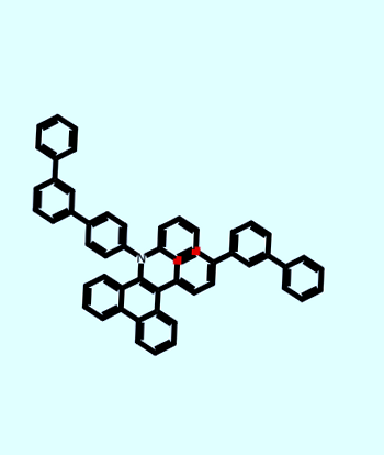 c1ccc(-c2cccc(-c3ccc(-c4c(N(c5ccccc5)c5ccc(-c6cccc(-c7ccccc7)c6)cc5)c5ccccc5c5ccccc45)cc3)c2)cc1